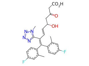 Cc1cc(F)ccc1C(=C(C=CC(O)CC(=O)CC(=O)O)c1nnnn1C)c1ccc(F)cc1C